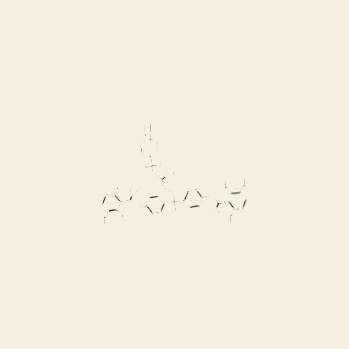 CC(CCC(=O)OC(C)(C)C1CCNCC1)(c1ccc(OC(=O)c2c(I)ccc(I)c2I)cc1)c1ccc(OC(=O)c2c(I)ccc(I)c2I)cc1